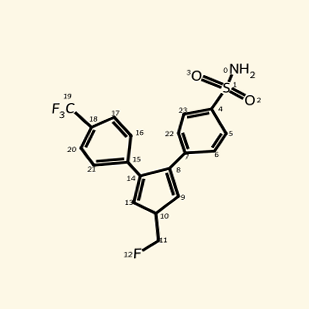 NS(=O)(=O)c1ccc(C2=CC(CF)C=C2c2ccc(C(F)(F)F)cc2)cc1